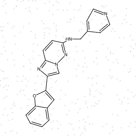 c1ccc2oc(-c3cn4nc(NCc5ccncc5)ccc4n3)cc2c1